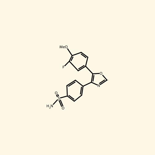 COc1ccc(-c2o[c]nc2-c2ccc(S(N)(=O)=O)cc2)cc1F